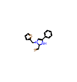 S=CC1NC(c2ccccc2)=CN1Cc1cccs1